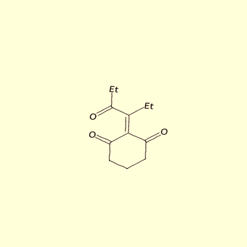 CCC(=O)C(CC)=C1C(=O)CCCC1=O